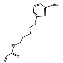 C=CC(=O)NCCCCOc1cccc(C(C)(C)C)c1